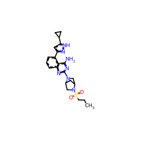 CCCS(=O)(=O)N1CC2CC1CN2c1nc(N)c2c(-c3cc(C4CC4)[nH]n3)cccc2n1